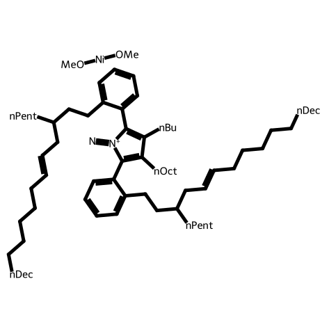 CCCCCCCCCCCCCCCC=CCC(CCCCC)CCc1ccccc1C1=C(CCCC)C(CCCCCCCC)=C(c2ccccc2CCC(CC=CCCCCCCCCCCCCCCC)CCCCC)[N+]1=[N-].C[O][Ni][O]C